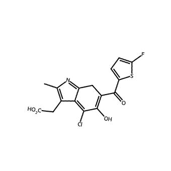 CC1=C(CC(=O)O)C2=C(Cl)C(O)=C(C(=O)c3ccc(F)s3)CC2=N1